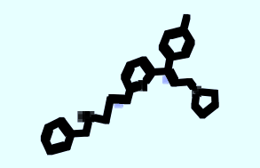 Cc1ccc(/C(=C\CN2CCCC2)c2cccc(/C=C/CNCc3ccccc3)n2)cc1